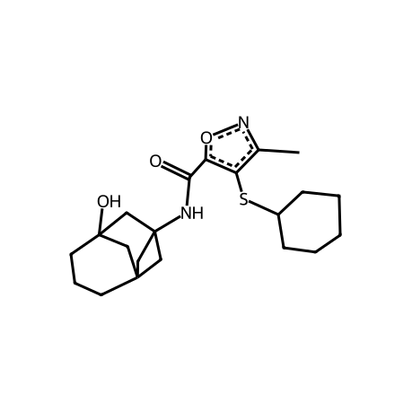 Cc1noc(C(=O)NC23CC4(O)CCCC(C4)(C2)C3)c1SC1CCCCC1